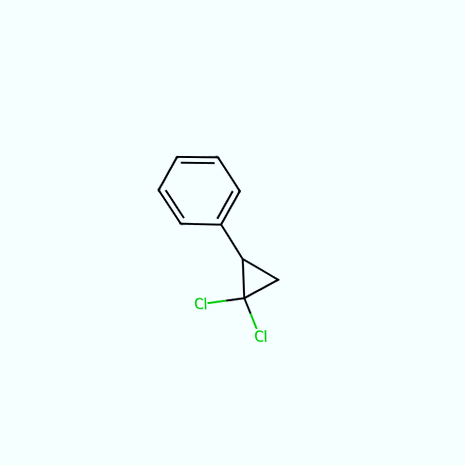 ClC1(Cl)CC1c1ccccc1